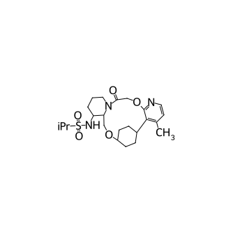 Cc1ccnc2c1C1CCC(CC1)OCC1C(NS(=O)(=O)C(C)C)CCCN1C(=O)CO2